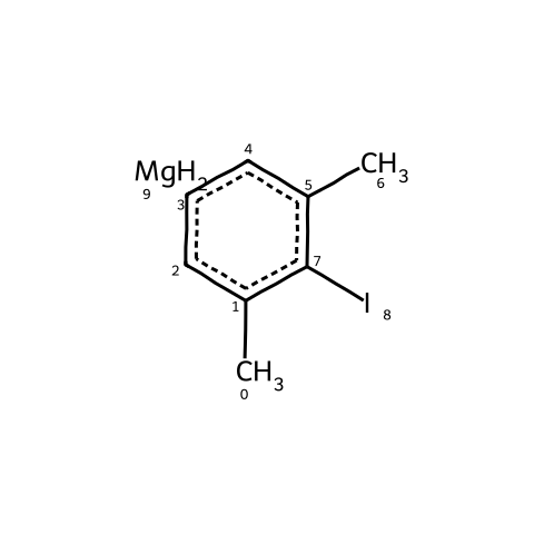 Cc1cccc(C)c1I.[MgH2]